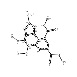 CCCOC(=O)c1cc(C(=O)OCCC)c2c(n1)c(OCC)c(OCC)c1cc(C(=O)OCC)[nH]c12